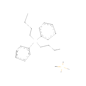 CCCC[B-](CCCC)(c1ccccc1)c1ccccc1.C[P+](C)(C)C